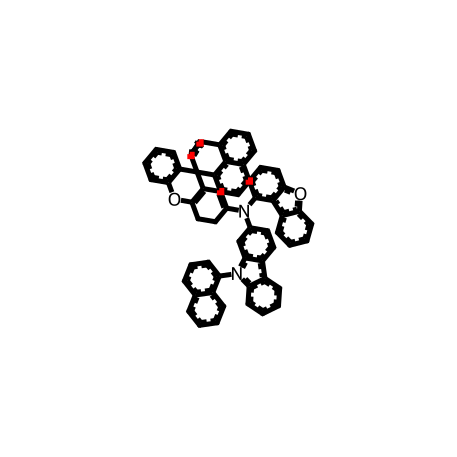 C1=C(N(c2ccc3c4ccccc4n(-c4cccc5ccccc45)c3c2)c2cccc3oc4ccccc4c23)CCC2=C1C1(c3ccccc3O2)c2ccccc2-c2cccc3cccc1c23